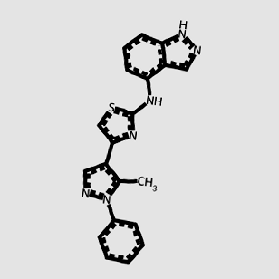 Cc1c(-c2csc(Nc3cccc4[nH]ncc34)n2)cnn1-c1ccccc1